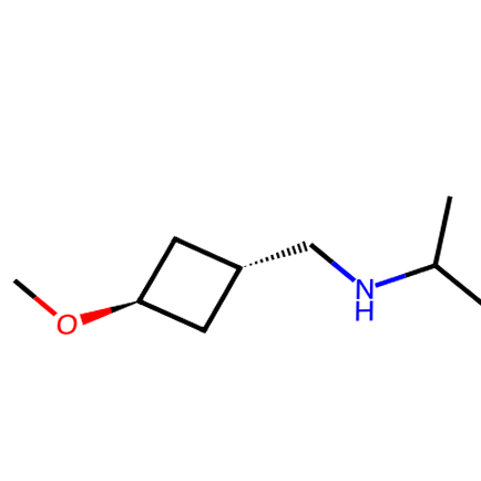 CO[C@H]1C[C@H](CNC(C)C)C1